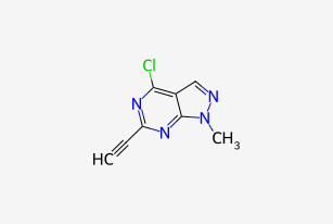 C#Cc1nc(Cl)c2cnn(C)c2n1